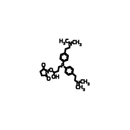 CN(C)CCc1ccc(P(CCC(O)ON2C(=O)CCC2=O)c2ccc(CCN(C)C)cc2)cc1